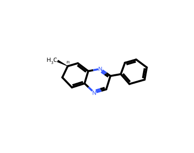 C[C@H]1C=c2nc(-c3ccccc3)cnc2=CC1